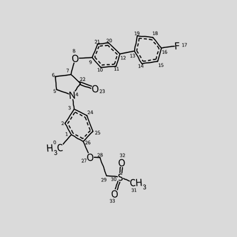 Cc1cc(N2CCC(Oc3ccc(-c4ccc(F)cc4)cc3)C2=O)ccc1OCCS(C)(=O)=O